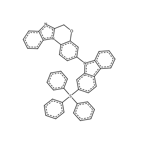 c1ccc(S(c2ccccc2)(c2ccccc2)c2ccc3c4ccccc4n(-c4ccc5c(c4)OCc4nc6ccccc6n4-5)c3c2)cc1